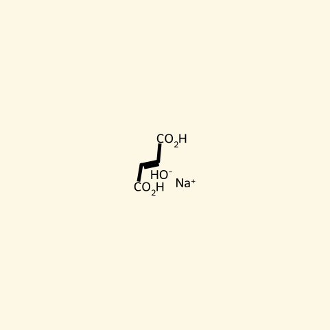 O=C(O)C=CC(=O)O.[Na+].[OH-]